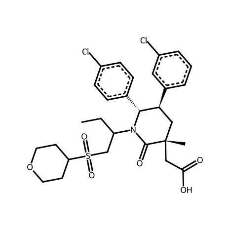 CCC(CS(=O)(=O)C1CCOCC1)N1C(=O)[C@@](C)(CC(=O)O)C[C@H](c2cccc(Cl)c2)[C@H]1c1ccc(Cl)cc1